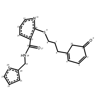 O=C1C=CC=C(CCCSc2ncccc2C(=O)NCc2cccs2)C1